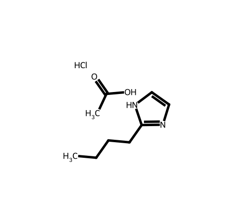 CC(=O)O.CCCCc1ncc[nH]1.Cl